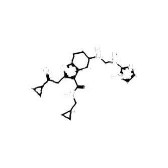 O=C(NCC1CC1)c1c(CC(=O)C2CC2)sc2c1CC(NCNc1ncc[nH]1)CC2